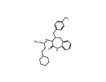 O=C1Nc2ccccc2CC(Cc2ccc([N+](=O)[O-])cc2)C1N[C@@H](CCC1CCCCC1)C(=O)O